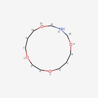 C1COCCOCCCOCNCOC1